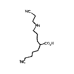 N#CCCCCC(CCCNCCC#N)C(=O)O